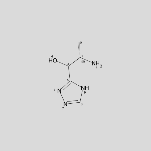 C[C@H](N)C(O)c1nnc[nH]1